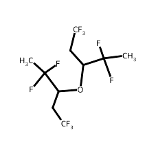 CC(F)(F)C(CC(F)(F)F)OC(CC(F)(F)F)C(C)(F)F